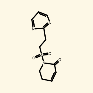 O=C1C=CCCN1S(=O)(=O)CCc1ncccn1